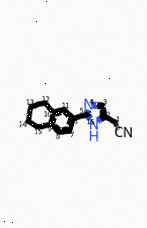 N#CCc1cnc(-c2ccc3c(c2)CCCC3)[nH]1